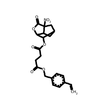 C=Cc1ccc(COC(=O)CCC(=O)OC2C3CC4C2OC(=O)C4([N+](=O)[O-])C3)cc1